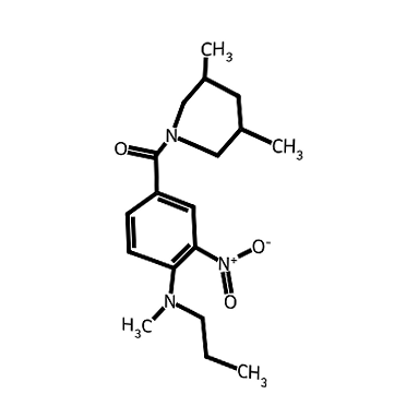 CCCN(C)c1ccc(C(=O)N2CC(C)CC(C)C2)cc1[N+](=O)[O-]